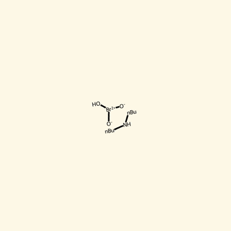 CCCCNCCCC.[O-][Br+2]([O-])O